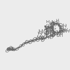 CC[C@H](C)[C@H](NC(O)CN)C(=O)NCC(=O)N[C@H]1C[S+]([O-])c2[nH]c3c(CSCCCCNC(=O)NCCOCCOCCOCCOCCOCCOCCOCCn4cc(CN5C(=O)C=CC5=O)nn4)c(O)ccc3c2C[C@@H](CO)NC(=O)[C@H]([C@@H](C)[C@@H](O)CO)NC(=O)C[C@@H](O)CNC(=O)[C@H](CC(N)=O)NC1=O